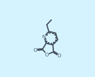 CCc1ccc2c(n1)C(=O)OC2=O